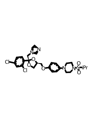 CC(C)S(=O)(=O)N1CCN(c2ccc(OC[C@H]3CO[C@](Cn4ccnc4)(c4ccc(Cl)cc4Cl)O3)cc2)CC1